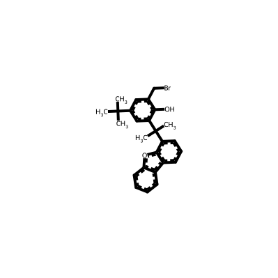 CC(C)(C)c1cc(CBr)c(O)c(C(C)(C)c2cccc3c2oc2ccccc23)c1